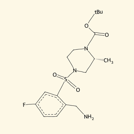 C[C@@H]1CN(S(=O)(=O)c2cc(F)ccc2CN)CCN1C(=O)OC(C)(C)C